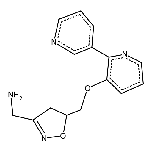 NCC1=NOC(COc2cccnc2-c2cccnc2)C1